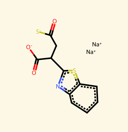 O=C([S-])CC(C(=O)[O-])c1nc2ccccc2s1.[Na+].[Na+]